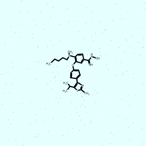 CCCCCN(C)c1ccc(C(=N)NO)cc1Oc1ccc(-c2nc(C)sc2C(C)C)cc1